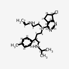 C=CNCCN(CCC(CNC(C)C)c1ccc(C)cc1)c1ncnc2c1CCC2Cl